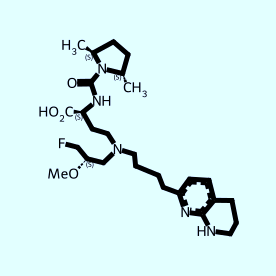 CO[C@H](CF)CN(CCCCc1ccc2c(n1)NCCC2)CC[C@H](NC(=O)N1[C@@H](C)CC[C@@H]1C)C(=O)O